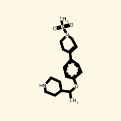 CC(Oc1ccc(C2=CCN(S(C)(=O)=O)CC2)cc1)C1CCNCC1